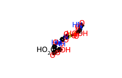 Cc1cn([C@H]2C[C@@H](O)[C@@H](COP(=O)(O)OCCSC3CC(=O)N(CC4CCC(C(=O)NNC(=O)c5ccc(C(=O)O)c(-c6c7ccc(=O)cc-7oc7cc(O)ccc67)c5)CC4)C3=O)O2)c(=O)[nH]c1=O